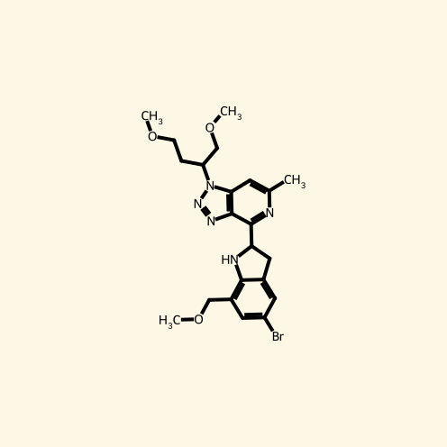 COCCC(COC)n1nnc2c(C3Cc4cc(Br)cc(COC)c4N3)nc(C)cc21